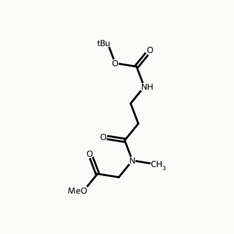 COC(=O)CN(C)C(=O)CCNC(=O)OC(C)(C)C